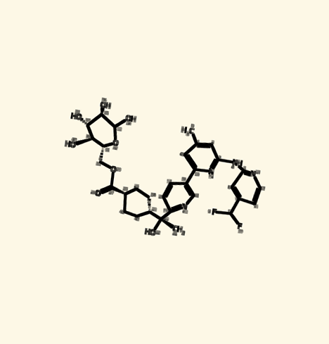 Cc1cc(Nc2cc(C(F)F)ccn2)nc(-c2ccc([C@](C)(O)[C@H]3CC[C@H](C(=O)OC[C@H]4OC(O)[C@H](O)[C@@H](O)[C@@H]4O)CC3)nc2)c1